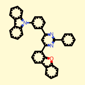 c1ccc(-c2nc(-c3cccc(-n4c5ccccc5c5ccccc54)c3)cc(-c3cccc4c3oc3ccccc34)n2)cc1